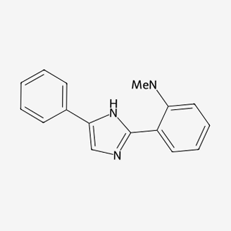 CNc1ccccc1-c1ncc(-c2ccccc2)[nH]1